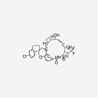 C[C@H]1C/C=C\[C@H](O)[C@@H]2CC[C@H]2CN2CC3(CCCc4cc(Cl)ccc43)COc3ccc(cc32)C(=O)NS(=O)(=O)[C@@H]1CC(F)(F)F